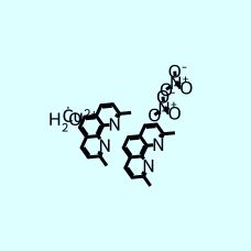 Cc1ccc2ccc3ccc(C)nc3c2n1.Cc1ccc2ccc3ccc(C)nc3c2n1.O.O=[N+]([O-])[O-].O=[N+]([O-])[O-].[Cu+2]